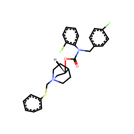 O=C(O[C@H]1C[N+]2(CSc3ccccc3)CCC1CC2)N(Cc1ccc(F)cc1)c1ccccc1F